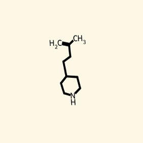 C=C(C)CCC1CCNCC1